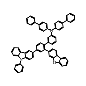 c1ccc(-c2ccc(N(c3ccc(-c4ccccc4)cc3)c3cccc(-c4ccc(-c5ccc6c(c5)c5ccccc5n6-c5ccccc5)cc4-c4ccc5c(c4)oc4ccccc45)c3)cc2)cc1